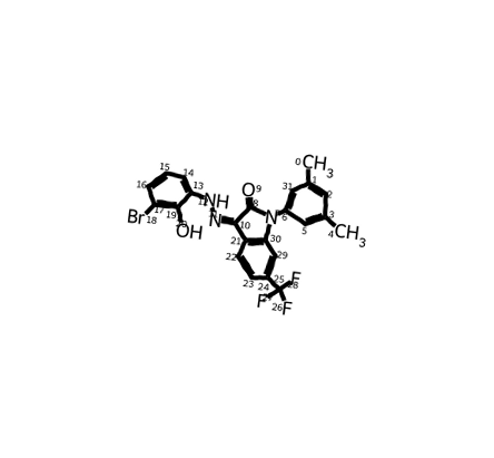 Cc1cc(C)cc(N2C(=O)/C(=N\Nc3cccc(Br)c3O)c3ccc(C(F)(F)F)cc32)c1